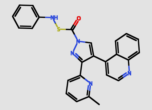 Cc1cccc(-c2nn(C(=O)SNc3ccccc3)cc2-c2ccnc3ccccc23)n1